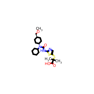 COC[C@H]1CC[C@H](N(C(=O)Nc2ncc(SC(C)(C)C(=O)O)s2)C2CCCCC2)CC1